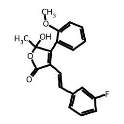 COc1ccccc1C1=C(C=Cc2cccc(F)c2)C(=O)OC1(C)O